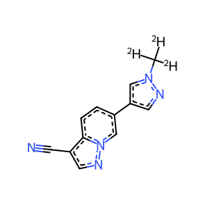 [2H]C([2H])([2H])n1cc(-c2ccc3c(C#N)cnn3c2)cn1